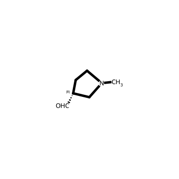 CN1CC[C@@H](C=O)C1